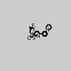 O=c1sc2nc(-c3cccc(N4CCCCC4)c3)ccc2n1CC1CC1(F)F